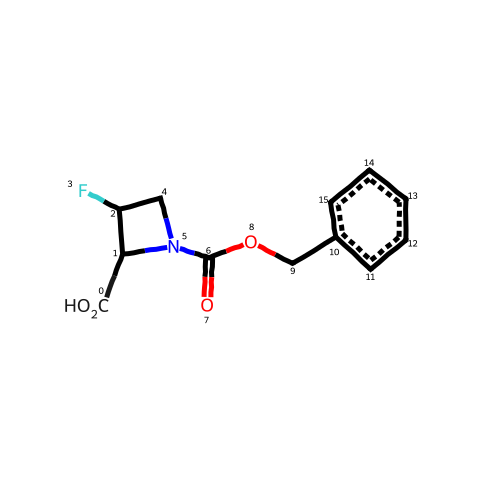 O=C(O)C1C(F)CN1C(=O)OCc1ccccc1